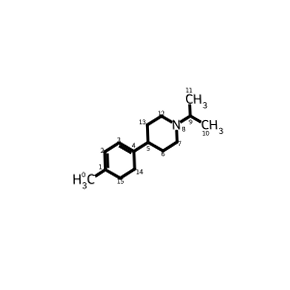 CC1=CC=C(C2CCN(C(C)C)CC2)CC1